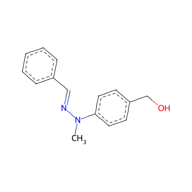 CN(N=Cc1ccccc1)c1ccc(CO)cc1